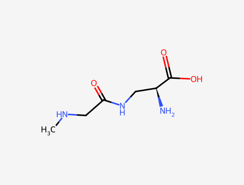 CNCC(=O)NC[C@H](N)C(=O)O